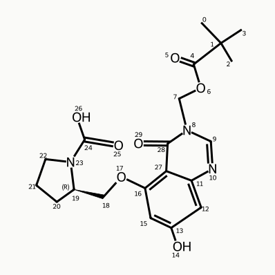 CC(C)(C)C(=O)OCn1cnc2cc(O)cc(OC[C@H]3CCCN3C(=O)O)c2c1=O